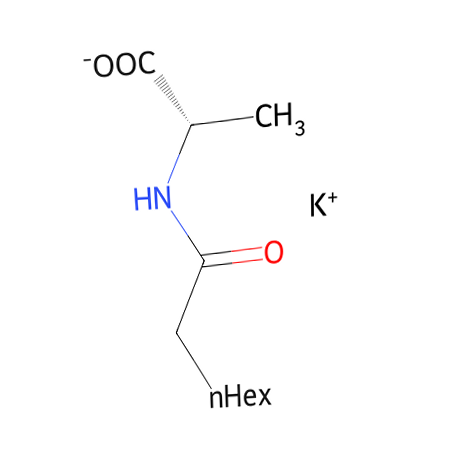 CCCCCCCC(=O)N[C@@H](C)C(=O)[O-].[K+]